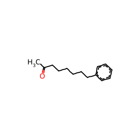 CC(=O)CCCCCCc1ccccc1